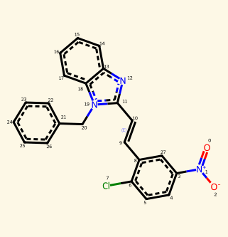 O=[N+]([O-])c1ccc(Cl)c(/C=C/c2nc3ccccc3n2Cc2ccccc2)c1